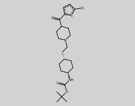 CC(C)(C)OC(=O)N[C@H]1CC[C@H](CCN2CCC(C(=O)c3ccc(Cl)s3)CC2)CC1